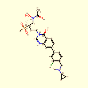 CN(Cc1ccc(-c2ccc3c(=O)n(CC[C@](C)(CN(O)C(=O)C(F)(F)F)S(C)(=O)=O)cnc3c2)cc1F)C1CC1